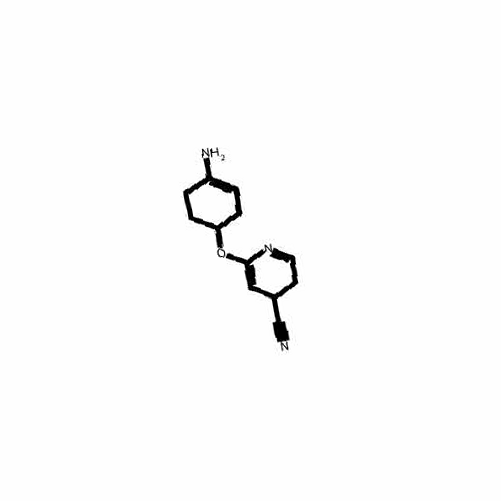 N#CC1C=C(OC2CC=C(N)CC2)N=CC1